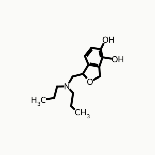 CCCN(CCC)CC1OCc2c1ccc(O)c2O